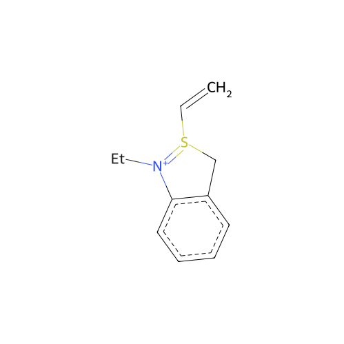 C=CS1=[N+](CC)c2ccccc2C1